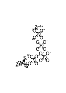 O=P([O-])([O-])[O-].O=P([O-])([O-])[O-].O=P([O-])([O-])[O-].O=P([O-])([O-])[O-].[S]=[Mo]=[S].[Zr+4].[Zr+4].[Zr+4]